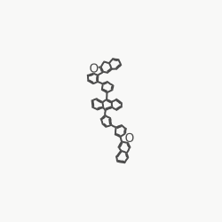 C1=CC2=Cc3c(oc4cccc(-c5cccc(-c6c7ccccc7c(-c7cccc(-c8ccc9oc%10cc%11ccccc%11cc%10c9c8)c7)c7ccccc67)c5)c34)CC2C=C1